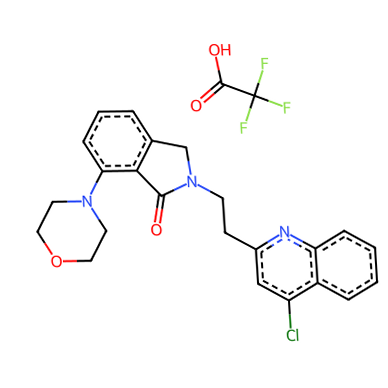 O=C(O)C(F)(F)F.O=C1c2c(cccc2N2CCOCC2)CN1CCc1cc(Cl)c2ccccc2n1